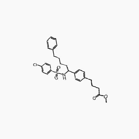 COC(=O)CCCc1ccc(C(CCCCc2ccccc2)NS(=O)(=O)c2ccc(Cl)cc2)cc1